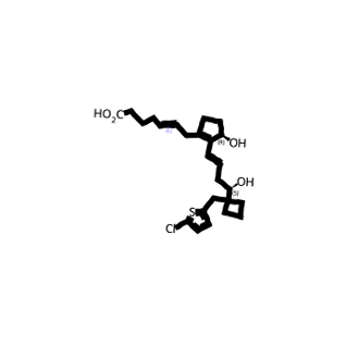 O=C(O)CCC/C=C/CC1=C(C=CC[C@H](O)C2(Cc3ccc(Cl)s3)CCC2)[C@H](O)CC1